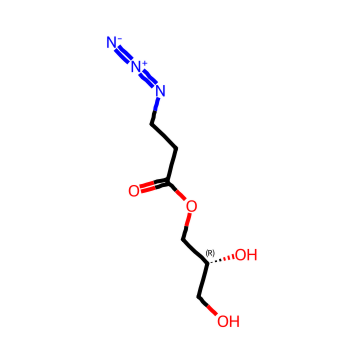 [N-]=[N+]=NCCC(=O)OC[C@H](O)CO